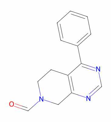 O=CN1CCc2c(ncnc2-c2ccccc2)C1